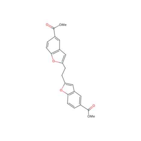 COC(=O)c1ccc2oc(CCc3cc4cc(C(=O)OC)ccc4o3)cc2c1